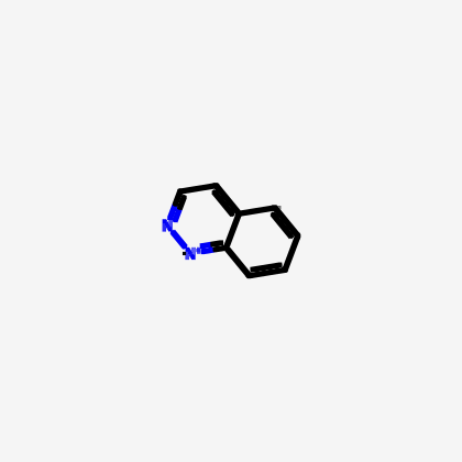 [c]1cccc2c1=CC=N[N+]=2